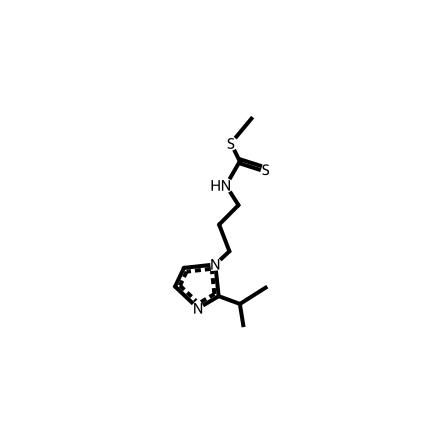 CSC(=S)NCCCn1ccnc1C(C)C